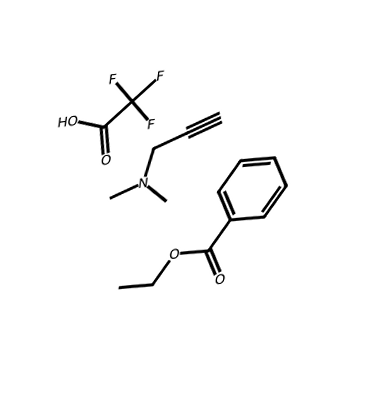 C#CCN(C)C.CCOC(=O)c1ccccc1.O=C(O)C(F)(F)F